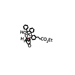 CCOC(=O)CCc1ccc(C[N+]2(C)C3CC(OC(=O)C(O)(c4ccccc4)c4ccccc4)CC2C2OC23)cc1